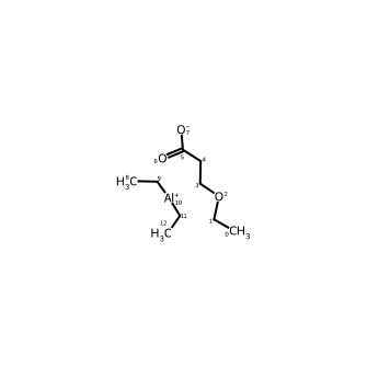 CCOCCC(=O)[O-].C[CH2][Al+][CH2]C